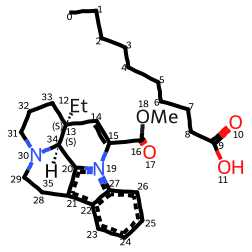 CCCCCCCCCC(=O)O.CC[C@@]12C=C(C(=O)OC)n3c4c(c5ccccc53)CCN(CCC1)[C@H]42